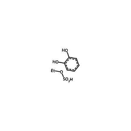 CCOS(=O)(=O)O.Oc1ccccc1O